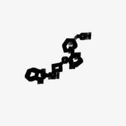 OC[C@H]1CCCN(c2nccnc2O[C@H]2C[C@H](Nc3nc4ccccc4s3)C2)C1